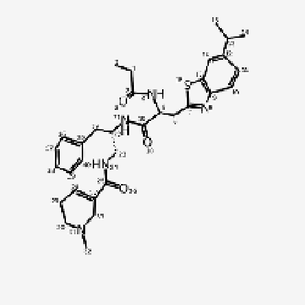 CCC(=O)N[C@@H](Cc1nc2ccc(C(C)C)cc2s1)C(=O)N[C@H](CNC(=O)C1=CCCN(C)C1)Cc1ccccc1